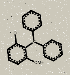 COc1cccc(O)c1[S+](c1ccccc1)c1ccccc1